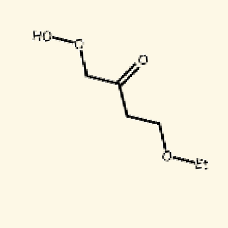 CCOCCC(=O)COO